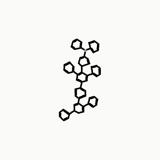 C1=CC(c2c(-c3ccccc3)cc(-c3ccc(C4=CC(c5ccccc5)CC=C4c4ccccc4)cc3)cc2-c2ccccc2)CC=C1N(c1ccccc1)c1ccccc1